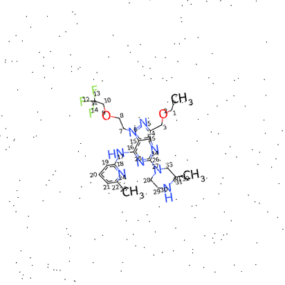 CCOCc1nn(CCOCC(F)(F)F)c2c(Nc3cccc(C)n3)nc(N3CCN[C@H](C)C3)nc12